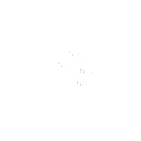 Nc1c[n+]([O-])c(N)cc1N1CCCCC1